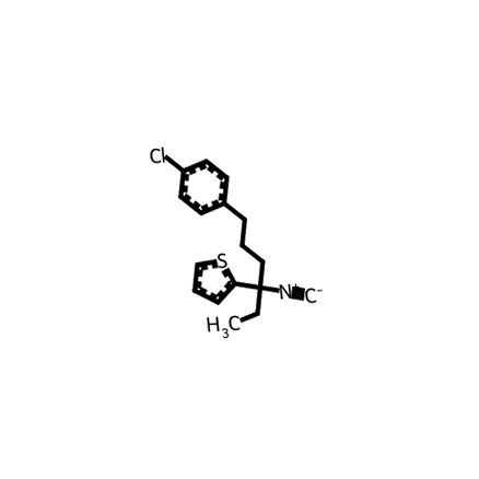 [C-]#[N+]C(CC)(CCCc1ccc(Cl)cc1)c1cccs1